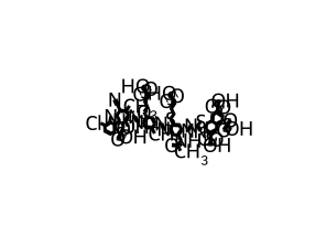 CC(=O)Nc1cc(N=Nc2cc(OCCCS(=O)(=O)O)c(N=Nc3c(C)c(C#N)c4nc5c(Cl)ccc(S(=O)(=O)O)c5n4c3O)cc2C)c(SCCCS(=O)(=O)O)cc1N=Nc1nc2c(S(=O)(=O)O)cc3c(S(=O)(=O)O)cc(S(=O)(=O)O)cc3c2s1